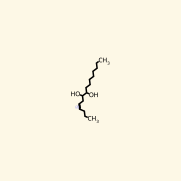 CCC/C=C\CC(O)C(O)CCCCCCCC